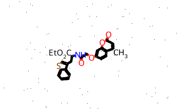 CCOC(=O)[C@H](Cc1csc2ccccc12)NC(=O)COc1ccc2c(C)cc(=O)oc2c1